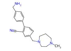 CN1CCCN(Cc2ccc(-c3ccc(CN)cc3)c(C#N)c2)CC1